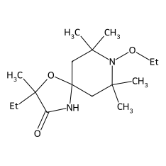 CCON1C(C)(C)CC2(CC1(C)C)NC(=O)C(C)(CC)O2